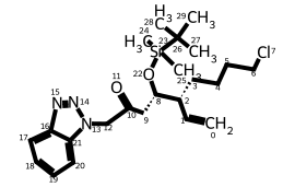 C=C[C@@H](CCCCCl)[C@H](CC(=O)Cn1nnc2ccccc21)O[Si](C)(C)C(C)(C)C